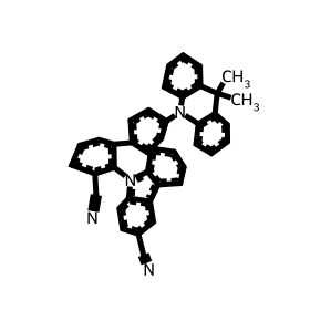 CC1(C)c2ccccc2N(c2ccc(-c3cccc(C#N)c3-n3c4ccccc4c4cc(C#N)ccc43)cc2)c2ccccc21